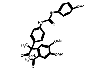 COc1cc(C(N)=O)c(C(C)(C(=O)[AsH2])c2ccc(NC(=O)Nc3ccc(OC(C)=O)cc3)cc2)cc1OC